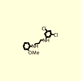 COc1ccccc1NCCCNc1cc(Cl)cc(Cl)c1